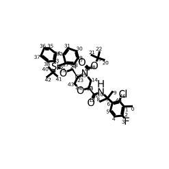 Cc1c(F)ccc(C(C)(C)NC(=O)[C@@H]2CN(C(=O)OC(C)(C)C)[C@H](CO[Si](c3ccccc3)(c3ccccc3)C(C)(C)C)CO2)c1Cl